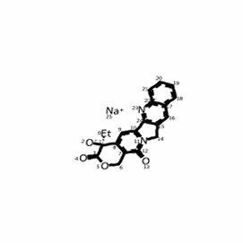 CC[C@@]1([O-])C(=O)OCc2c1cc1n(c2=O)Cc2cc3ccccc3nc2-1.[Na+]